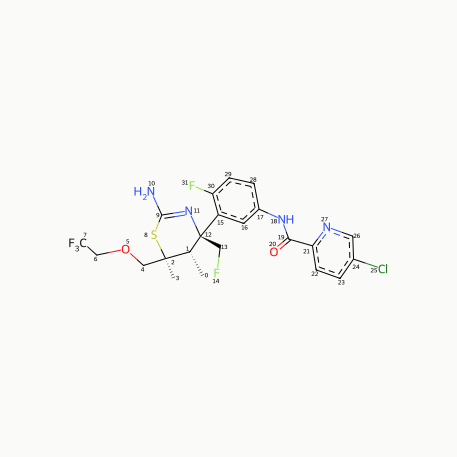 C[C@@H]1[C@@](C)(COCC(F)(F)F)SC(N)=N[C@]1(CF)c1cc(NC(=O)c2ccc(Cl)cn2)ccc1F